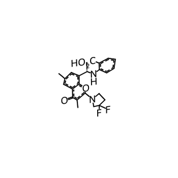 Cc1cc([C@@H](C)Nc2ccccc2C(=O)O)c2oc(N3CCC(F)(F)C3)c(C)c(=O)c2c1